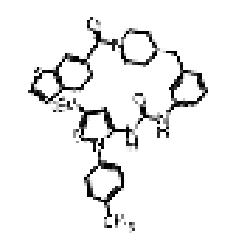 Cc1ccc(-n2nc(C(C)(C)C)cc2NC(=O)Nc2cccc(CC3CCN(C(=O)C4=Cc5sccc5CC4)CC3)c2)cc1